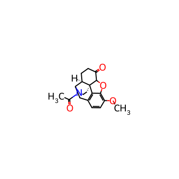 COc1ccc2c3c1OC1C(=O)CC[C@@H]4C(C2)N(C(C)=O)CC[C@@]314